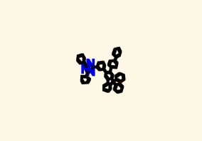 c1ccc(-c2ccc(-c3cc4c(cc3-c3cccc(-c5nc(-c6ccccc6)nc(-c6ccccc6)n5)c3)-c3ccccc3C4(c3ccccc3)c3ccccc3)cc2)cc1